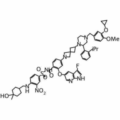 COc1ccc(CN2CCN(C3CC4(C3)CN(c3ccc(C(=O)NS(=O)(=O)c5ccc(NCC6CCC(C)(O)CC6)c([N+](=O)[O-])c5)c(Oc5cnc6[nH]cc(F)c6c5)c3)C4)C(c3ccccc3C(C)C)C2)cc1OC1CC1